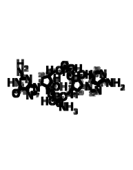 N.Nc1nc2c(ncn2[C@@H]2C[C@@H]3COP(=O)(O)O[C@@H]4[C@@H](COP(=O)(O)O[C@@H]2[C@@H]3O)C[C@@H](n2cnc3c(N)ncnc32)[C@@H]4O)c(=O)[nH]1